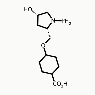 O=C(O)C1CCC(OC[C@@H]2C[C@H](O)CN2P)CC1